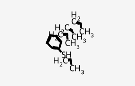 C=CC.C=CC.C=CC.C=CC.Sc1ccccc1